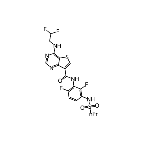 CCCS(=O)(=O)Nc1ccc(F)c(NC(=O)c2csc3c(NCC(F)F)ncnc23)c1F